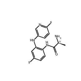 C[C@H](N)C(=O)Nc1ccc(F)cc1Nc1ccc(F)nc1